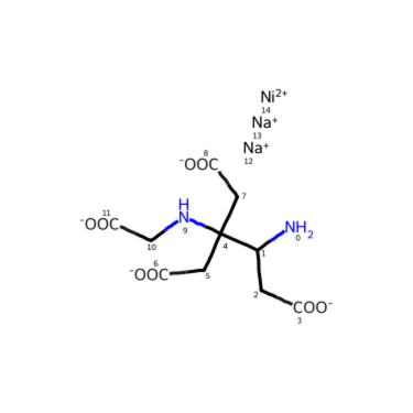 NC(CC(=O)[O-])C(CC(=O)[O-])(CC(=O)[O-])NCC(=O)[O-].[Na+].[Na+].[Ni+2]